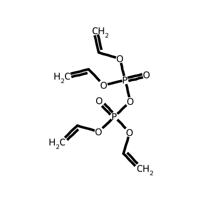 C=COP(=O)(OC=C)OP(=O)(OC=C)OC=C